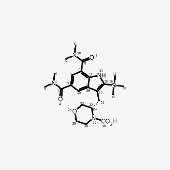 CN(C)C(=O)c1cc(C(=O)N(C)C)c2[nH]c([Si](C)(C)C)c(C[C@H]3COCCN3C(=O)O)c2c1